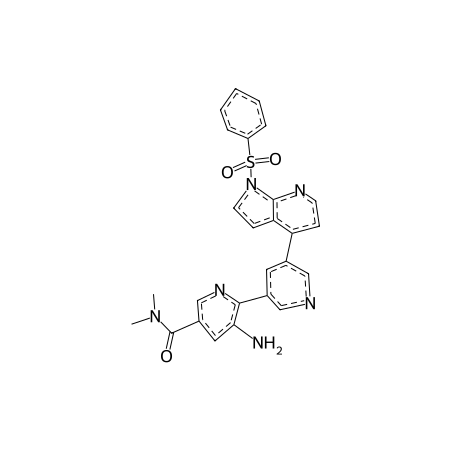 CN(C)C(=O)c1cnc(-c2cncc(-c3ccnc4c3ccn4S(=O)(=O)c3ccccc3)c2)c(N)c1